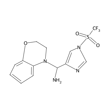 NC(c1cn(S(=O)(=O)C(F)(F)F)cn1)N1CCOc2ccccc21